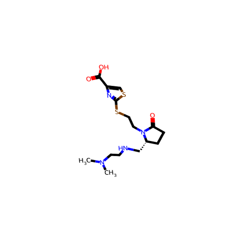 CN(C)CCNC[C@H]1CCC(=O)N1CCSc1nc(C(=O)O)cs1